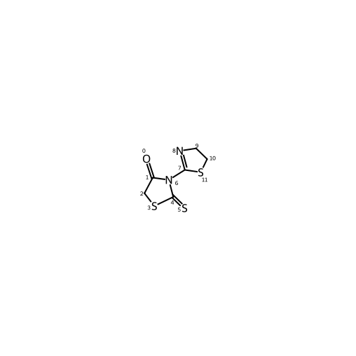 O=C1CSC(=S)N1C1=NCCS1